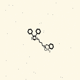 CN(CCCCn1cnc(-c2ccccc2)c1-c1ccccc1)Cc1ccccc1